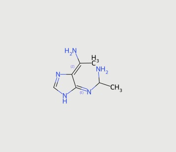 C/C(N)=C1/N=CN/C1=N/C(C)N